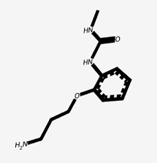 CNC(=O)Nc1ccccc1OCCCN